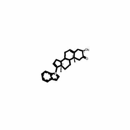 C[C@]12CC(=O)[C@H](O)CC1=CCC1C2CC[C@]2(C)C(n3ccc4ccccc43)=CCC12